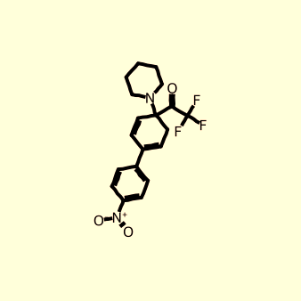 O=C(C(F)(F)F)C1(N2CCCCC2)C=CC(c2ccc([N+](=O)[O-])cc2)=CC1